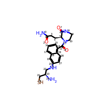 NC(=O)CC[C@H]1C(=O)NCCN1C(=O)c1cccc2cc(NC[C@@H](N)CS)ccc12